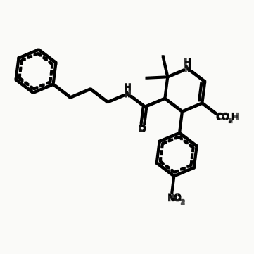 CC1(C)NC=C(C(=O)O)C(c2ccc([N+](=O)[O-])cc2)C1C(=O)NCCCc1ccccc1